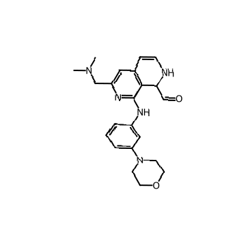 CN(C)Cc1cc2c(c(Nc3cccc(N4CCOCC4)c3)n1)C(C=O)NC=C2